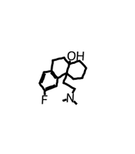 CN(C)CCC12CCCCC1(O)CCc1ccc(F)cc12